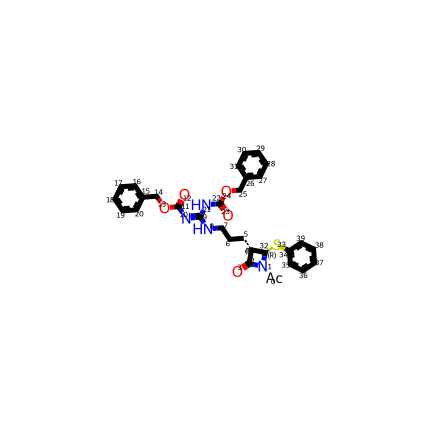 CC(=O)N1C(=O)[C@H](CCCNC(=NC(=O)OCc2ccccc2)NC(=O)OCc2ccccc2)[C@H]1Sc1ccccc1